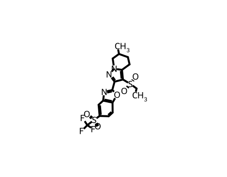 CCS(=O)(=O)c1c(-c2nc3cc(S(=O)(=O)C(F)(F)F)ccc3o2)nn2c1CCC(C)C2